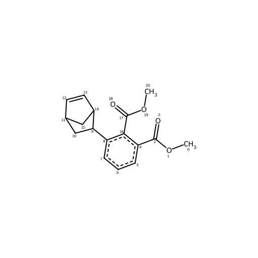 COC(=O)c1cccc(C2CC3C=CC2C3)c1C(=O)OC